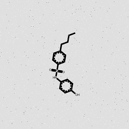 CCCCc1ccc(S(=O)(=O)Nc2ccc(O)cc2)cc1